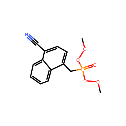 COOP(=O)(Cc1ccc(C#N)c2ccccc12)OOC